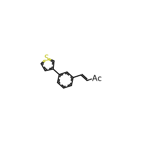 CC(=O)C=Cc1cccc(-c2ccsc2)c1